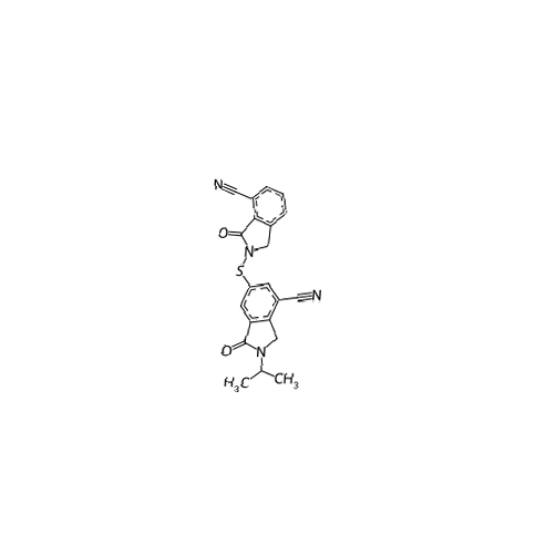 CC(C)N1Cc2c(C#N)cc(SN3Cc4cccc(C#N)c4C3=O)cc2C1=O